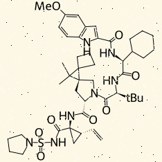 C=C[C@@H]1C[C@]1(NC(=O)[C@@H]1C[C@@]2(CN1C(=O)[C@@H](NC(=O)[C@@H](NC(=O)c1cc3cc(OC)ccc3[nH]1)C1CCCCC1)C(C)(C)C)C(C)(C)C21CCC1)C(=O)NS(=O)(=O)N1CCCC1